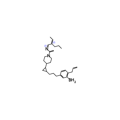 Bc1cc(CCCC2CC2C2CCN(C(=C)/N=C\C(=C/C)CCC)CC2)ccc1CC=C